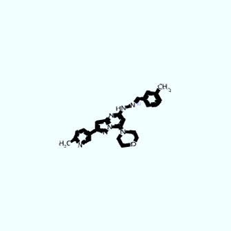 Cc1cccc(/C=N/Nc2cc(N3CCOCC3)n3nc(-c4ccc(C)nc4)cc3n2)c1